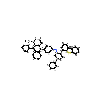 CC1CC=Cc2c1c(-c1ccccc1)c1ccccc1c2-c1ccc(Nc2cc(-c3ccccc3)ccc2-c2cccc3c2sc2ccccc23)cc1